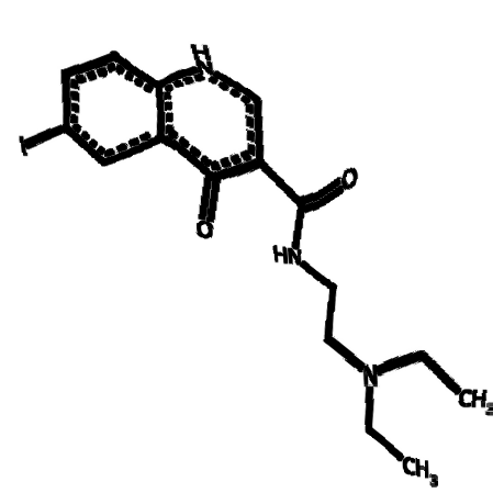 CCN(CC)CCNC(=O)c1c[nH]c2ccc(I)cc2c1=O